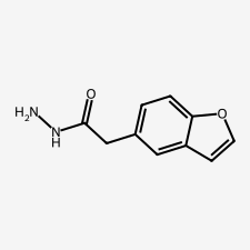 NNC(=O)Cc1ccc2occc2c1